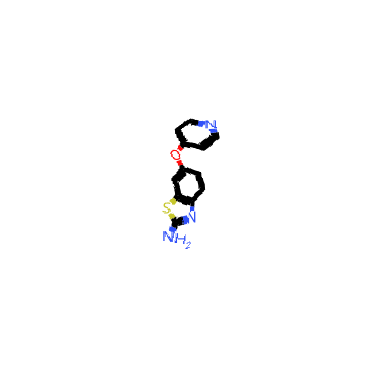 Nc1nc2ccc(Oc3ccncc3)cc2s1